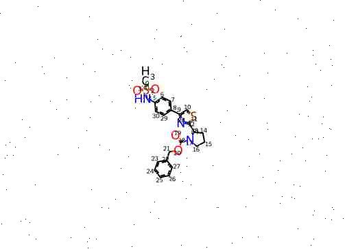 CS(=O)(=O)Nc1ccc(-c2csc([C@H]3CCCN3C(=O)OCc3ccccc3)n2)cc1